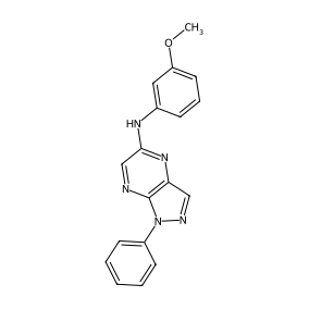 COc1cccc(Nc2cnc3c(cnn3-c3ccccc3)n2)c1